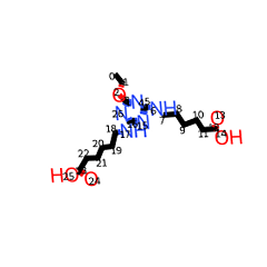 CCOc1nc(NCCCCCC(=O)O)nc(NCCCCCC(=O)O)n1